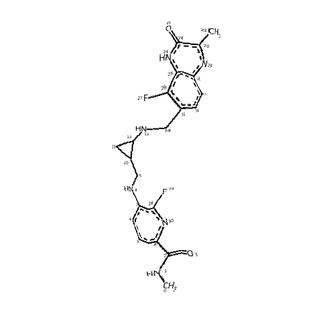 CNC(=O)c1ccc(NCC2CC2NCc2ccc3nc(C)c(=O)[nH]c3c2F)c(F)n1